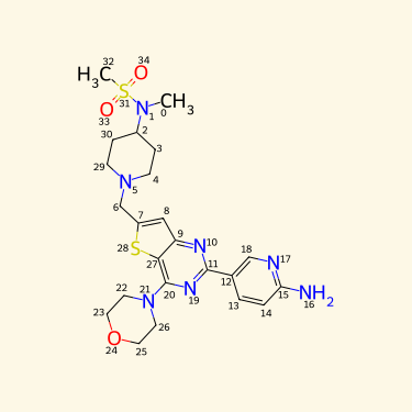 CN(C1CCN(Cc2cc3nc(-c4ccc(N)nc4)nc(N4CCOCC4)c3s2)CC1)S(C)(=O)=O